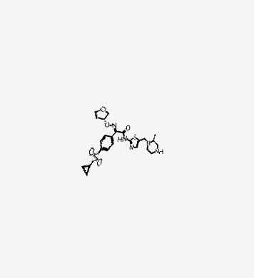 C[C@H]1CNCCN1Cc1cnc(NC(=O)/C(=N/O[C@@H]2CCOC2)c2ccc(S(=O)(=O)C3CC3)cc2)s1